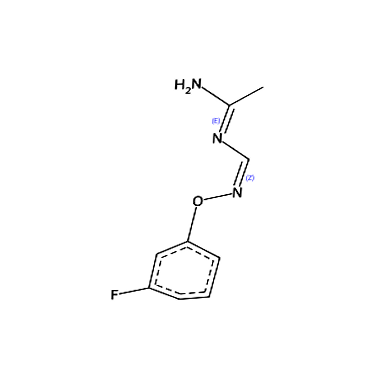 C/C(N)=N\C=N/Oc1cccc(F)c1